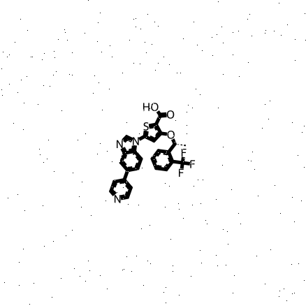 C[C@@H](Oc1cc(-n2cnc3cc(-c4ccncc4)ccc32)sc1C(=O)O)c1ccccc1C(F)(F)F